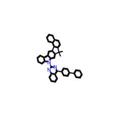 CC1(C)c2cc3c(cc2-c2c1ccc1ccccc21)c1ccccc1n3-c1nc(-c2ccc(-c3ccccc3)cc2)c2ccccc2n1